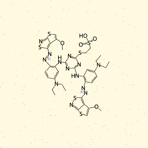 CCN(CC)c1ccc(/N=N/c2snc3scc(OC)c23)c(Nc2nc(Nc3cc(N(CC)CC)ccc3/N=N/c3snc4scc(OC)c34)nc(SCCS(=O)(=O)O)n2)c1